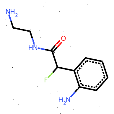 NCCNC(=O)C(F)c1ccccc1N